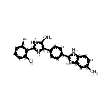 Bc1[nH]c(-c2c(F)cccc2Cl)nc1-c1ccc(-c2nc3cc(C)ccc3[nH]2)cc1